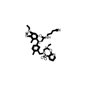 CC[C@@H]1CN(Cc2cc([C@H](CC(=O)NCCCC#N)c3ccc4c(nnn4CC)c3C)ccc2C)S(=O)(=O)c2cccnc2O1